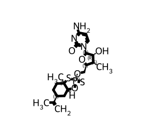 C=C(C)[C@H]1CC[C@@]2(C)S[P@](=S)(OC[C@H]3O[C@@H](n4ccc(N)nc4=O)[C@H](O)[C@@H]3C)O[C@@H]2C1